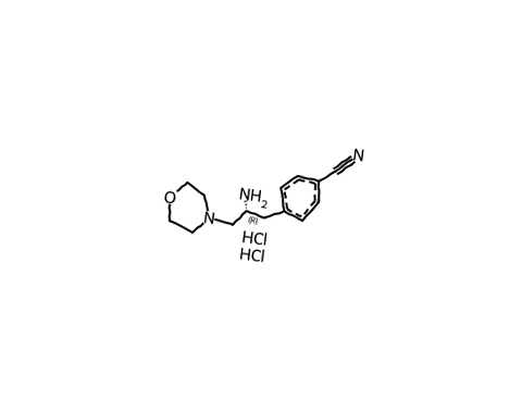 Cl.Cl.N#Cc1ccc(C[C@@H](N)CN2CCOCC2)cc1